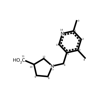 Cc1cc(C)c(CN2CCC(C(=O)O)C2)cn1